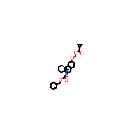 O=C(OCOc1ccc2c(c1)[C@@]13CCCC[C@H]1[C@@H](C2)N(C(=O)OCc1ccccc1)CC3)C1CC1